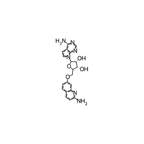 Nc1ccc2ccc(OCC3O[C@@H](n4ccc5c(N)ncnc54)[C@H](O)[C@@H]3O)cc2n1